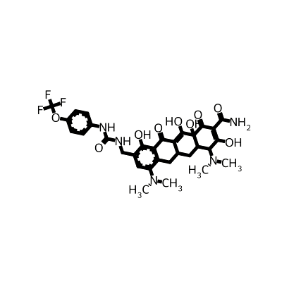 CN(C)c1cc(CNC(=O)Nc2ccc(OC(F)(F)F)cc2)c(O)c2c1CC1CC3C(N(C)C)C(O)=C(C(N)=O)C(=O)C3(O)C(O)=C1C2=O